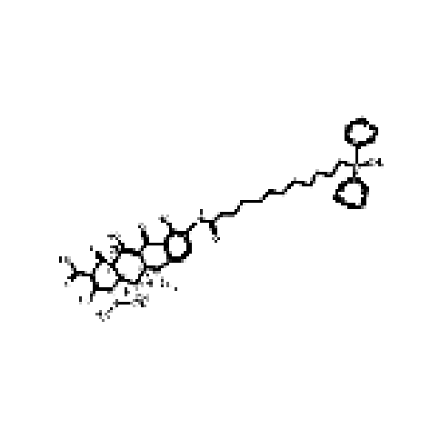 C[C@H]1c2ccc(NC(=O)CCCCCCCCCCC[PH](C)(c3ccccc3)c3ccccc3)c(O)c2C(=O)C2=C(O)[C@]3(O)C(=O)C(C(N)=O)=C(O)[C@@H](N(C)C)[C@@H]3[C@@H](O)[C@@H]21